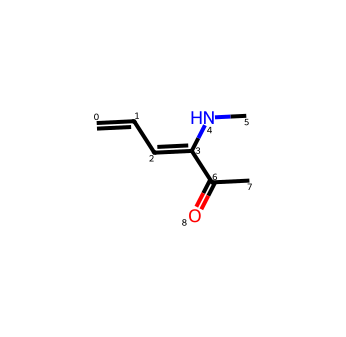 C=CC=C(NC)C(C)=O